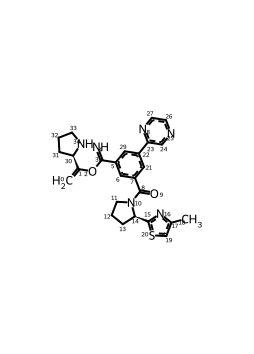 C=C(OC(=N)c1cc(C(=O)N2CCC[C@@H]2c2nc(C)cs2)cc(-c2cnccn2)c1)[C@H]1CCCN1